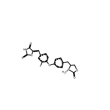 CN1C(=O)OCC1Cc1ccc(Oc2ccc(/C=C3\SC(=S)NC3=O)cc2F)cc1